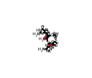 CO[C@H]1[C@H]2OP(=O)(O)OC[C@@]34CO[C@@H]([C@H](n5cnc6c(N)ncnc65)O3)[C@@H]4P(=O)(O)OC[C@H]1O[C@H]2c1snc2c(=O)[nH]c(N)nc12